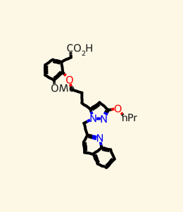 CCCOc1cc(CCCOc2c(CC(=O)O)cccc2OC)n(Cc2ccc3ccccc3n2)n1